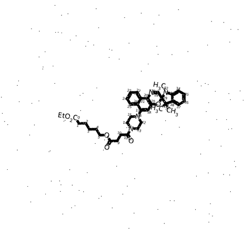 CCOC(=O)CCCCCOC(=O)CCC(=O)N1CCN(c2cc3c(c4ccccc24)N=CC2(O3)N(C)c3ccccc3C2(C)C)CC1